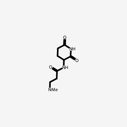 CNCCC(=O)NC1CCC(=O)NC1=O